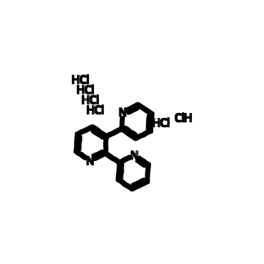 Cl.Cl.Cl.Cl.Cl.Cl.c1ccc(-c2cccnc2-c2ccccn2)nc1